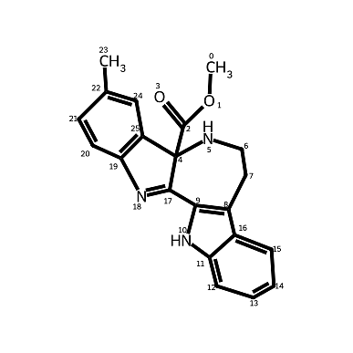 COC(=O)C12NCCc3c([nH]c4ccccc34)C1=Nc1ccc(C)cc12